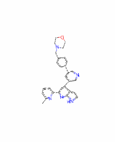 Cc1cccc(-c2cc(-c3cncc(-c4ccc(CN5CCOCC5)cc4)c3)c3cc[nH]c3n2)n1